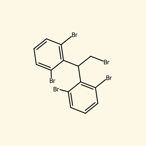 BrCC(c1c(Br)cccc1Br)c1c(Br)cccc1Br